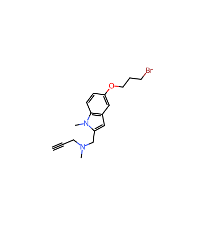 C#CCN(C)Cc1cc2cc(OCCCBr)ccc2n1C